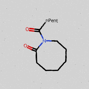 CCCCCC(=O)N1CCCCCCC1=O